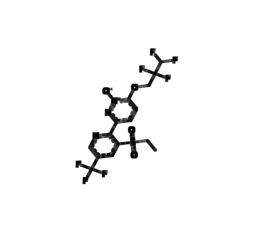 CCS(=O)(=O)c1cc(C(F)(F)F)cnc1-c1ccc(OCC(F)(F)C(F)F)[n+]([O-])n1